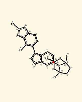 CCn1cc2c(Cl)c(-c3c[nH]c4nc(N5[C@@H]6CC[C@H]5C[C@H](N)C6)cnc34)ccc2n1